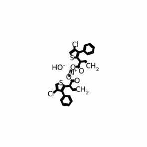 C=CC(C(=O)[O][Al+][O]C(=O)C(C=C)c1scc(Cl)c1-c1ccccc1)c1scc(Cl)c1-c1ccccc1.[OH-]